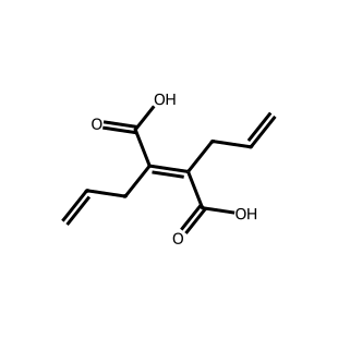 C=CCC(C(=O)O)=C(CC=C)C(=O)O